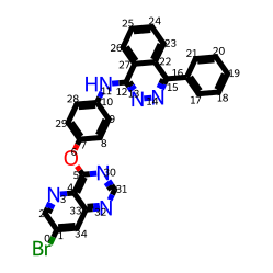 Brc1cnc2c(Oc3ccc(Nc4nnc(-c5ccccc5)c5ccccc45)cc3)ncnc2c1